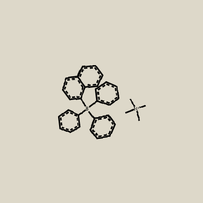 C[N+](C)(C)C.c1ccc([B-](c2ccccc2)(c2ccccc2)c2cccc3ccccc23)cc1